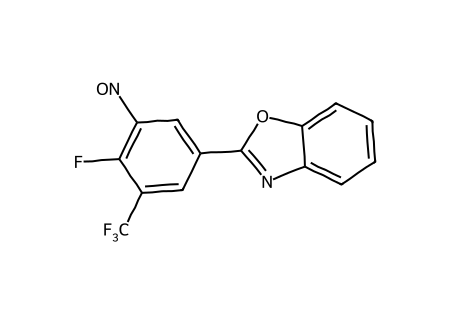 O=Nc1cc(-c2nc3ccccc3o2)cc(C(F)(F)F)c1F